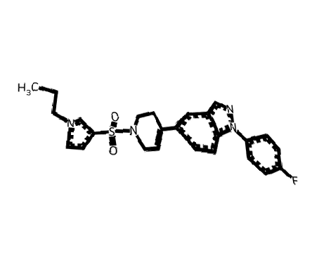 CCCn1ccc(S(=O)(=O)N2CC=C(c3ccc4c(cnn4-c4ccc(F)cc4)c3)CC2)c1